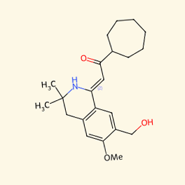 COc1cc2c(cc1CO)/C(=C/C(=O)C1CCCCCC1)NC(C)(C)C2